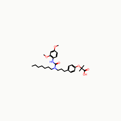 CCCCCCCN(CCCc1ccc(OC(C)(C)C(=O)O)cc1)C(=O)Nc1ccc(OC)cc1OC